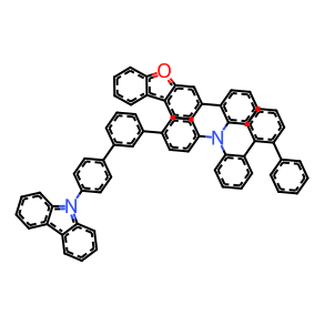 c1ccc(-c2ccccc2-c2ccccc2N(c2ccc(-c3cccc(-c4ccc(-n5c6ccccc6c6ccccc65)cc4)c3)cc2)c2ccccc2-c2ccc3c(c2)oc2ccccc23)cc1